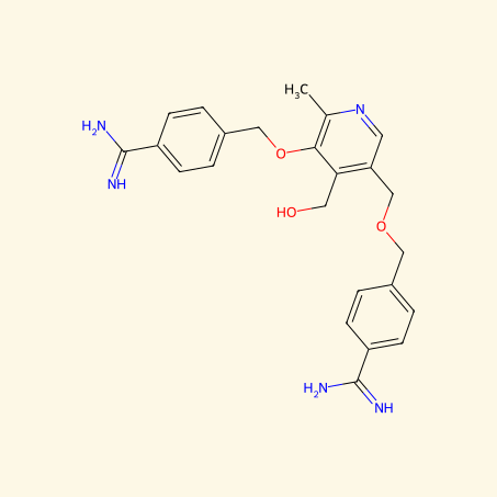 Cc1ncc(COCc2ccc(C(=N)N)cc2)c(CO)c1OCc1ccc(C(=N)N)cc1